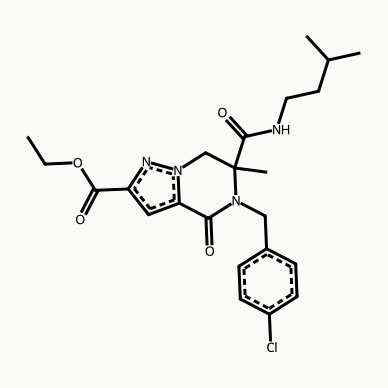 CCOC(=O)c1cc2n(n1)CC(C)(C(=O)NCCC(C)C)N(Cc1ccc(Cl)cc1)C2=O